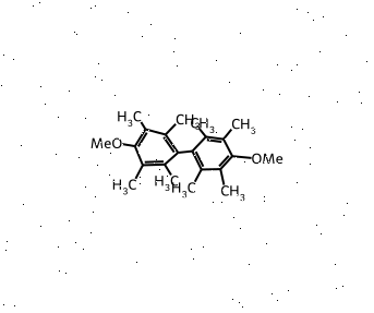 COc1c(C)c(C)c(-c2c(C)c(C)c(OC)c(C)c2C)c(C)c1C